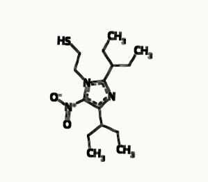 CCC(CC)c1nc(C(CC)CC)n(CCS)c1[N+](=O)[O-]